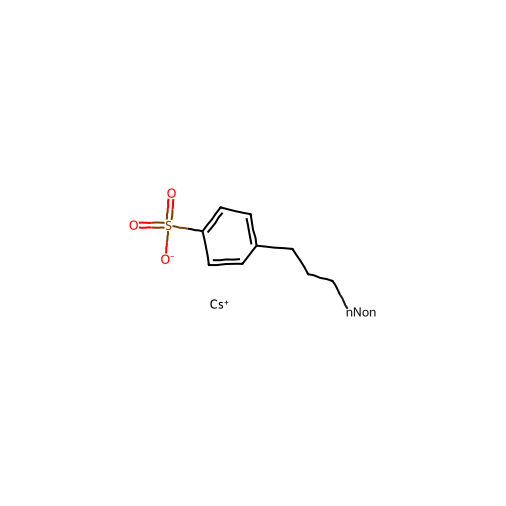 CCCCCCCCCCCCc1ccc(S(=O)(=O)[O-])cc1.[Cs+]